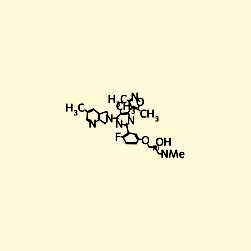 CNC[C@@H](O)COc1ccc(F)c(-c2nc(-c3c(C)noc3C)c(C)c(N3Cc4cc(C)cnc4C3)n2)c1